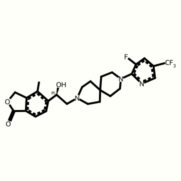 Cc1c([C@@H](O)CN2CCC3(CC2)CCN(c2ncc(C(F)(F)F)cc2F)CC3)ccc2c1COC2=O